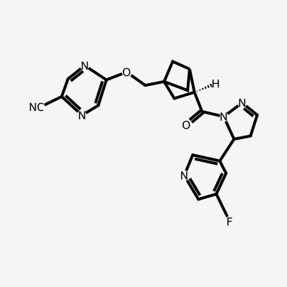 N#Cc1cnc(OCC23CC(C2)[C@@H](C(=O)N2N=CCC2c2cncc(F)c2)C3)cn1